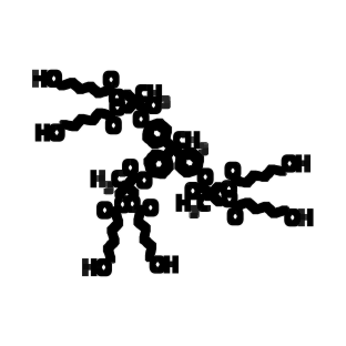 CC(COC(=O)CCCCCO)(COC(=O)CCCCCO)C(=O)Oc1ccc(C(C)(c2ccc(OC(=O)C(C)(COC(=O)CCCCCO)COC(=O)CCCCCO)cc2)c2ccc(OC(=O)C(C)(COC(=O)CCCCCO)COC(=O)CCCCCO)cc2)cc1